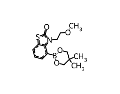 COCCn1c(=O)sc2cccc(B3OCC(C)(C)CO3)c21